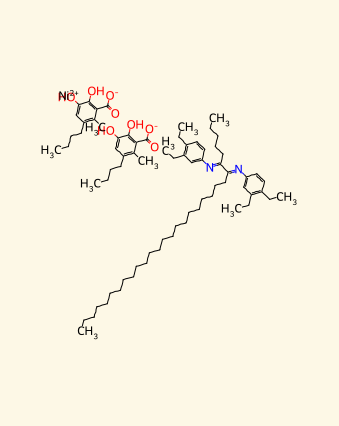 CCCCCCCCCCCCCCCCCCCCCCCC(=Nc1ccc(CC)c(CC)c1)C(CCCCC)=Nc1ccc(CC)c(CC)c1.CCCCc1cc(O)c(O)c(C(=O)[O-])c1C.CCCCc1cc(O)c(O)c(C(=O)[O-])c1C.[Ni+2]